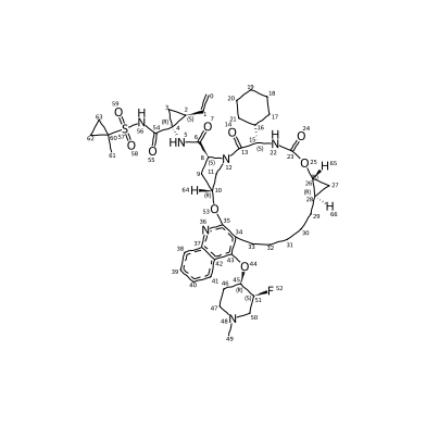 C=C[C@@H]1C[C@]1(NC(=O)[C@@H]1C[C@@H]2CN1C(=O)[C@H](C1CCCCC1)NC(=O)O[C@@H]1C[C@H]1CCCCCc1c(nc3ccccc3c1O[C@@H]1CCN(C)C[C@@H]1F)O2)C(=O)NS(=O)(=O)C1(C)CC1